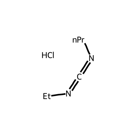 CCCN=C=NCC.Cl